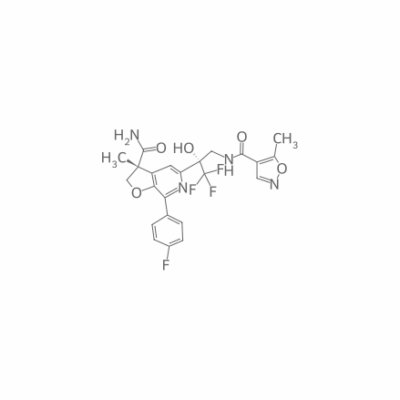 Cc1oncc1C(=O)NC[C@](O)(c1cc2c(c(-c3ccc(F)cc3)n1)OC[C@]2(C)C(N)=O)C(F)(F)F